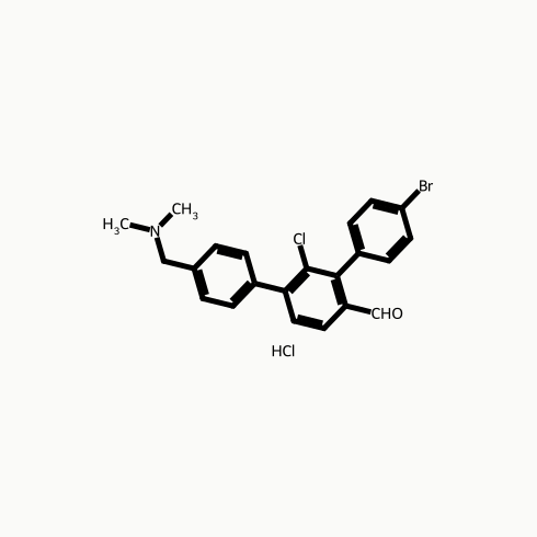 CN(C)Cc1ccc(-c2ccc(C=O)c(-c3ccc(Br)cc3)c2Cl)cc1.Cl